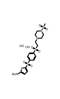 CNc1ccc(S(=O)(=O)c2ccc(S(=O)(=O)CCN3CCN(S(C)(=O)=O)CC3)cc2)s1.Cl.Cl